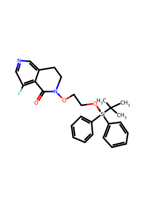 CC(C)(C)[Si](OCCON1CCc2cncc(F)c2C1=O)(c1ccccc1)c1ccccc1